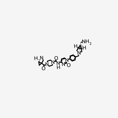 NC[C@@H]1[C@H]2CN(Cc3ccc(-n4ccc(NC(=O)N5CCN(C(=O)C6(CN)CC6)CC5)nc4=O)cc3)C[C@@H]12